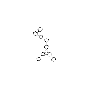 c1ccc(-c2ccc3c(c2)c2cc(-c4ccccc4)ccc2n3-c2ccc(-c3cccc(-c4ccc(-c5cccc6sc7ccccc7c56)cc4)c3)cc2)cc1